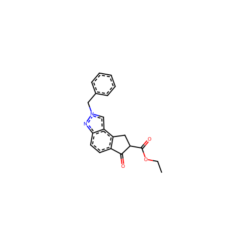 CCOC(=O)C1Cc2c(ccc3nn(Cc4ccccc4)cc23)C1=O